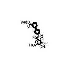 COC(=O)c1cccc(-c2ccc(NC(=O)[C@H]3O[C@H](CO)[C@@H](O)[C@H](O)[C@@H]3O)cc2)c1